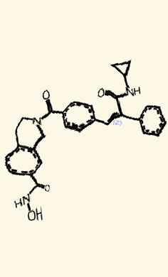 O=C(NC1CC1)/C(=C\c1ccc(C(=O)N2CCc3ccc(C(=O)NO)cc3C2)cc1)c1ccccc1